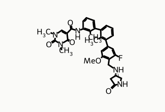 COc1cc(-c2cccc(-c3cccc(NC(=O)c4cn(C)c(=O)n(C)c4=O)c3C)c2C)cc(F)c1CN[C@@H]1CNC(=O)C1